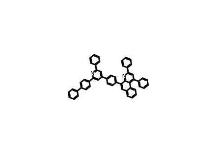 c1ccc(-c2ccc(-c3cc(-c4ccc(-c5cc6ccccc6c6c(-c7ccccc7)cc(-c7ccccc7)nc56)cc4)cc(-c4ccccc4)n3)cc2)cc1